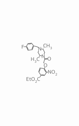 CCOC(=O)c1ccc(OCC(=O)N2C[C@@H](C)N(Cc3ccc(F)cc3)C[C@@H]2C)c([N+](=O)[O-])c1